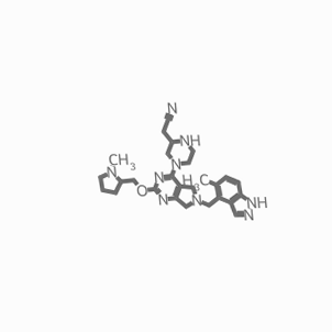 Cc1ccc2[nH]ncc2c1CN1Cc2nc(OCC3CCCN3C)nc(N3CCNC(CC#N)C3)c2C1